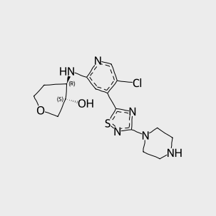 O[C@@H]1COCC[C@H]1Nc1cc(-c2nc(N3CCNCC3)ns2)c(Cl)cn1